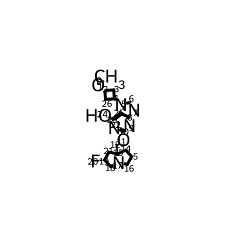 COC1CC(n2cnc3nc(OC[C@@]45CCCN4C[C@H](F)C5)nc(O)c32)C1